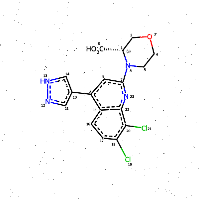 O=C(O)[C@@H]1COCCN1c1cc(-c2cn[nH]c2)c2ccc(Cl)c(Cl)c2n1